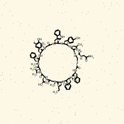 CCCC[C@H]1C(=O)N(C)CC(=O)N[C@@H](CC(=O)O)C(=O)N[C@@H](C(C)C)C(=O)N(C)[C@@H](Cc2ccccc2)C(=O)N[C@@H](Cc2ccc(O)c(I)c2)C(=O)N(C)CC(=O)N[C@@H](Cc2c[nH]c3ccccc23)C(=O)N[C@@H](Cc2ccc(O)cc2)C(=O)N[C@@H](CC(C)C)C(=O)N[C@H](C(=O)NCC(N)=O)CSCC(=O)N[C@@H](Cc2ccccc2)C(=O)N(C)[C@@H](Cc2ccccc2)C(=O)N1C